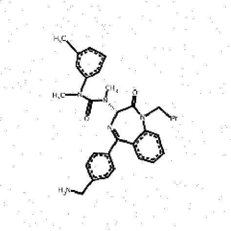 Cc1cccc(N(C)C(=O)N(C)[C@H]2N=C(c3ccc(CN)cc3)c3ccccc3N(CC(C)C)C2=O)c1